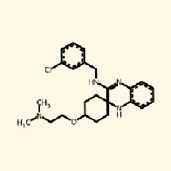 CN(C)CCOC1CCC2(CC1)Nc1ccccc1N=C2NCc1cccc(Cl)c1